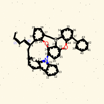 C/C=C\C=C1/Cc2ccc3c4ccccc4n(c3c2)-c2ccc3c4c2Oc2c(cccc21)B4c1cccc(-c2ccccc2)c1O3